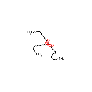 CCCCC/C=C\C/C=C\C/C=C\C/C=C\CCCCCC(=O)OC[C@H](COC(=O)CCCCCCCCC/C=C\CCCCCC)OC(=O)CCCCCCCCC/C=C\C/C=C\CCCCC